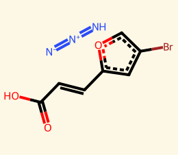 O=C(O)C=Cc1cc(Br)co1.[N-]=[N+]=N